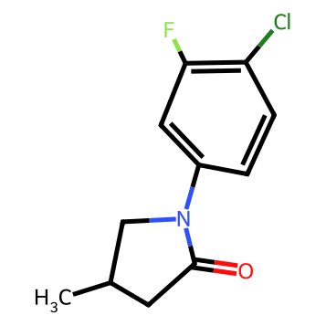 CC1CC(=O)N(c2ccc(Cl)c(F)c2)C1